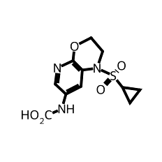 O=C(O)Nc1cnc2c(c1)N(S(=O)(=O)C1CC1)CCO2